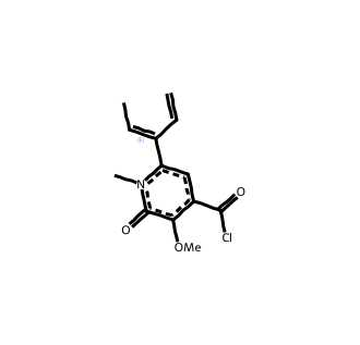 C=C/C(=C\C)c1cc(C(=O)Cl)c(OC)c(=O)n1C